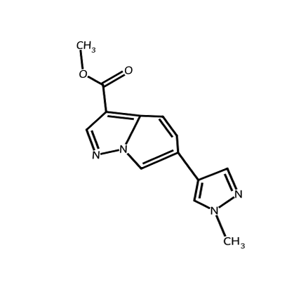 COC(=O)c1cnn2cc(-c3cnn(C)c3)ccc12